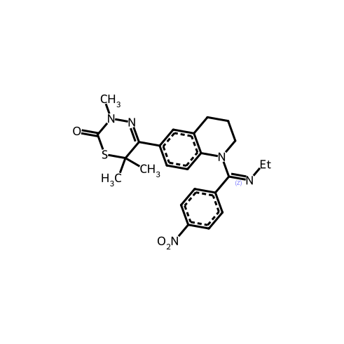 CC/N=C(/c1ccc([N+](=O)[O-])cc1)N1CCCc2cc(C3=NN(C)C(=O)SC3(C)C)ccc21